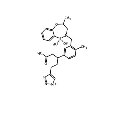 Cc1ccc(C(CCc2c[nH]nn2)CC(=O)O)cc1CN1CC(C)Oc2ccccc2S1(O)O